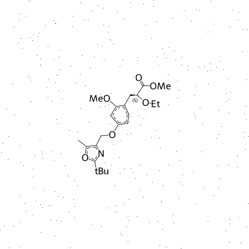 CCO[C@@H](Cc1ccc(OCc2nc(C(C)(C)C)oc2C)cc1OC)C(=O)OC